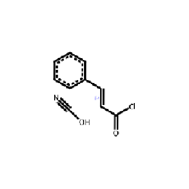 N#CO.O=C(Cl)/C=C/c1ccccc1